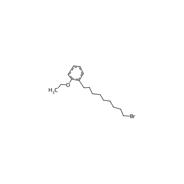 CCOc1ccccc1CCCCCCCCCBr